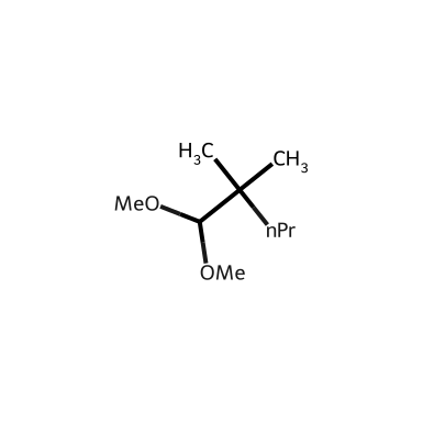 CCCC(C)(C)C(OC)OC